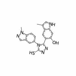 Cc1c[nH]c2cc(O)c(-c3nnc(S)n3-c3ccc4c(cnn4C)c3)cc12